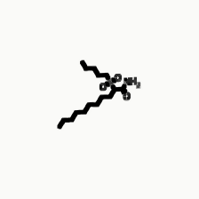 CCCCCCCCCC(C(N)=O)S(=O)(=O)CCCCC